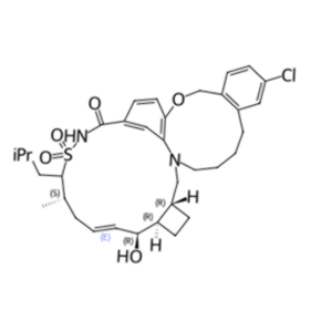 CC(C)CC1[C@@H](C)C/C=C/[C@H](O)[C@@H]2CC[C@H]2CN2CCCCc3cc(Cl)ccc3COc3ccc(cc32)C(=O)NS1(=O)=O